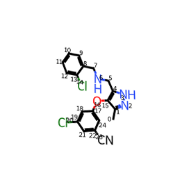 Cc1n[nH]c(CNCc2ccccc2Cl)c1Oc1cc(Cl)cc(C#N)c1